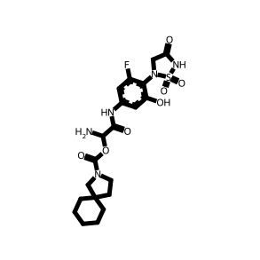 NC(OC(=O)N1CCC2(CCCCC2)C1)C(=O)Nc1cc(O)c(N2CC(=O)NS2(=O)=O)c(F)c1